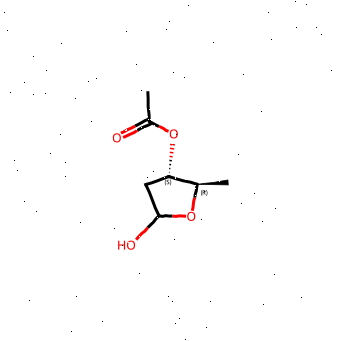 CC(=O)O[C@H]1CC(O)O[C@@H]1C